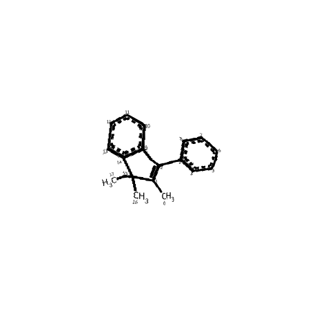 CC1=C(c2ccccc2)c2ccccc2C1(C)C